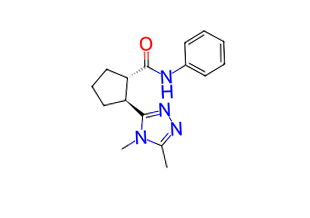 Cc1nnc([C@H]2CCC[C@@H]2C(=O)Nc2ccccc2)n1C